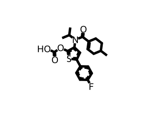 CC1CC=C(C(=O)N(c2cc(-c3ccc(F)cc3)sc2OC(=O)O)C(C)C)CC1